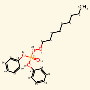 CCCCCCCCCOOP(=O)(Oc1ccccc1)Oc1ccccc1